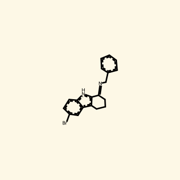 Brc1ccc2[nH]c3c(c2c1)CCC/C3=N\Cc1ccccc1